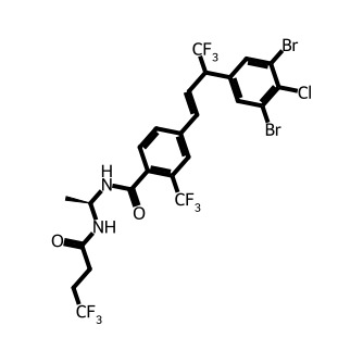 C[C@H](NC(=O)CCC(F)(F)F)NC(=O)c1ccc(/C=C/C(c2cc(Br)c(Cl)c(Br)c2)C(F)(F)F)cc1C(F)(F)F